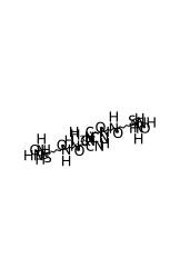 CC(C#N)(CCC(=O)NCCNC(=O)CCCC[C@@H]1SC[C@@H]2NC(=O)N[C@@H]21)/N=N/C(C)(C#N)CCC(=O)NCCNC(=O)CCCC[C@@H]1SC[C@@H]2NC(=O)N[C@@H]21